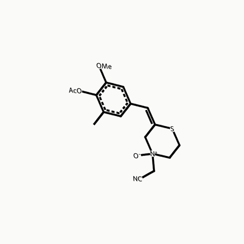 COc1cc(C=C2C[N+]([O-])(CC#N)CCS2)cc(C)c1OC(C)=O